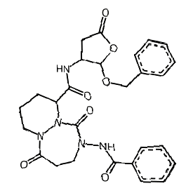 O=C1CC(NC(=O)C2CCCN3C(=O)CCN(NC(=O)c4ccccc4)C(=O)N23)C(OCc2ccccc2)O1